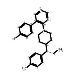 NC[C@H](c1ccc(C(F)(F)F)cc1)C1CCN(c2ncn[c]c2-c2ccc(F)cc2)CC1